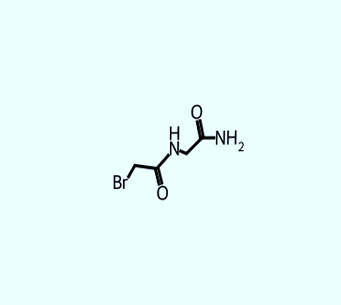 NC(=O)CNC(=O)CBr